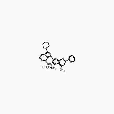 Cc1cc(-c2ccccc2)nc2cc(-c3nc(C4CCCCC4)n4ccnc(N)c34)ccc12.NC(=O)O